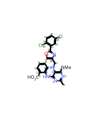 CNc1nc(C)nc(Nc2ccccc2C(=O)O)c1NCc1coc(-c2cc(Cl)ccc2Cl)n1